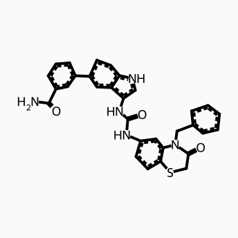 NC(=O)c1cccc(-c2ccc3[nH]cc(NC(=O)Nc4ccc5c(c4)N(Cc4ccccc4)C(=O)CS5)c3c2)c1